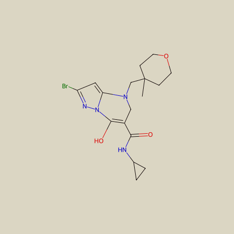 CC1(CN2CC(C(=O)NC3CC3)=C(O)n3nc(Br)cc32)CCOCC1